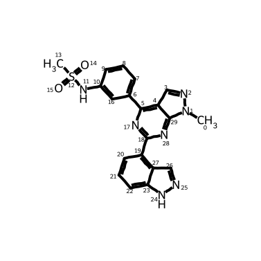 Cn1ncc2c(-c3cccc(NS(C)(=O)=O)c3)nc(-c3cccc4[nH]ncc34)nc21